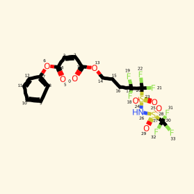 O=C(/C=C\C(=O)Oc1ccccc1)OCCCC(F)(F)C(F)(F)S(=O)(=O)NS(=O)(=O)C(F)(F)F